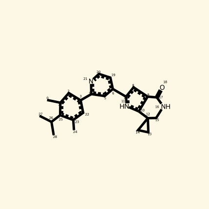 Cc1cc(-c2cc(-c3cc4c([nH]3)C3(CC3)CNC4=O)ccn2)cc(C)c1C(C)C